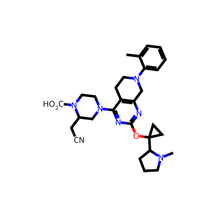 Cc1ccccc1N1CCc2c(nc(OC3(C4CCCN4C)CC3)nc2N2CCN(C(=O)O)C(CC#N)C2)C1